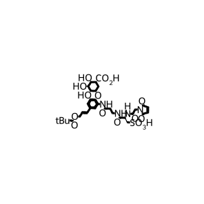 CC(C)(C)C(=O)OC/C=C/c1ccc(O[C@@H]2C[C@H](C(=O)O)[C@@H](O)[C@H](O)[C@H]2O)c(NC(=O)CCNC(=O)[C@H](CS(=O)(=O)O)NC(=O)CN2C(=O)C=CC2=O)c1